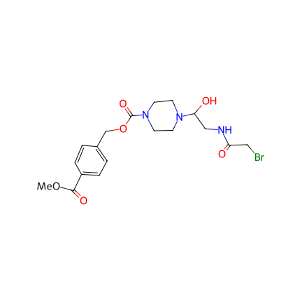 COC(=O)c1ccc(COC(=O)N2CCN(C(O)CNC(=O)CBr)CC2)cc1